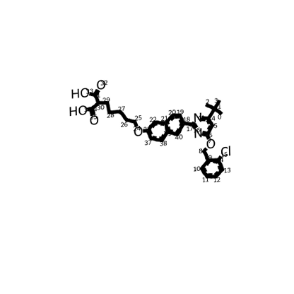 CC(C)(C)c1cc(OCc2ccccc2Cl)nc(-c2ccc3cc(OCCCCCC(C(=O)O)C(=O)O)ccc3c2)n1